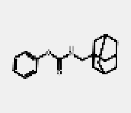 O=C(NCC12CC3CC(CC(C3)C1)C2)Oc1ccccc1